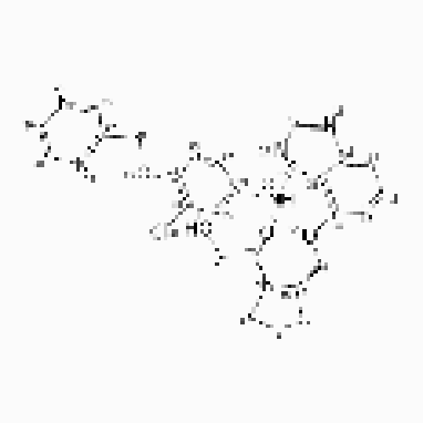 O=C(CO)N1CCC[C@@H]1COc1cccc2ncnc(Nc3ccc(OCc4cnccn4)c(Cl)c3)c12